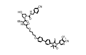 CC(C)(C)C(NC(=O)COCCCCOc1ccc(-c2ccc(N3C(=S)N(c4cnc(C#N)c(C(F)(F)F)c4)C(=O)C3(C)C)cc2)cc1)C(=O)N1C[C@H](O)C[C@H]1C(=O)NCc1ccc(C#N)cc1